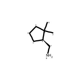 CC1(C)CCC[C@@H]1CN